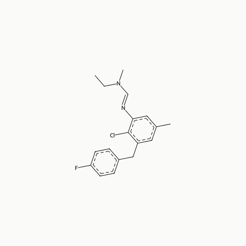 CCN(C)C=Nc1cc(C)cc(Cc2ccc(F)cc2)c1Cl